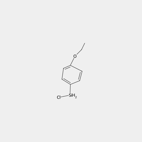 CCOc1ccc([SiH2]Cl)cc1